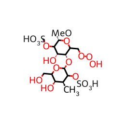 CO[C@@H]1OC(COOO)[C@H](O[C@@H]2OC(CO)[C@H](O)[C@H](C)C2OS(=O)(=O)O)[C@H](O)C1OS(=O)(=O)O